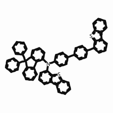 c1ccc(C2(c3ccccc3)c3ccccc3-c3c(N(c4ccc(-c5ccc(-c6cccc7c6sc6ccccc67)cc5)cc4)c4cccc5c4sc4ccccc45)cccc32)cc1